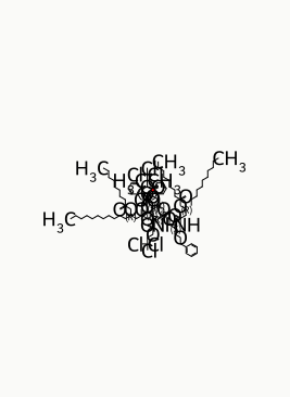 CCCCCCCCCCC[C@H](CC(=O)N[C@@H](COCc1ccccc1)CO[C@@H]1O[C@H](COC(=O)OC(C)(C)C(Cl)(Cl)Cl)[C@@H](OP(=O)(Oc2ccccc2)Oc2ccccc2)[C@H](OC(=O)C[C@@H](CCCCCCCCCCC)OC(=O)CCCCCCCC)[C@H]1NC(=O)OCC(Cl)(Cl)Cl)OC(=O)CCCCCCCC